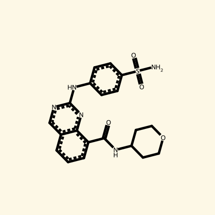 NS(=O)(=O)c1ccc(Nc2ncc3cccc(C(=O)NC4CCOCC4)c3n2)cc1